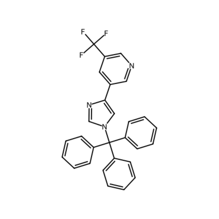 FC(F)(F)c1cncc(-c2cn(C(c3ccccc3)(c3ccccc3)c3ccccc3)cn2)c1